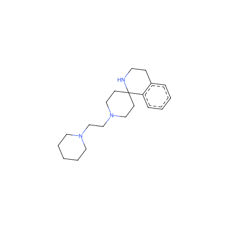 c1ccc2c(c1)CCNC21CCN(CCN2CCCCC2)CC1